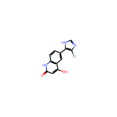 O=c1cc(O)c2cc(-c3[nH]cnc3Cl)ccc2[nH]1